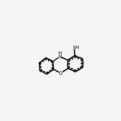 Sc1cccc2c1Nc1ccccc1O2